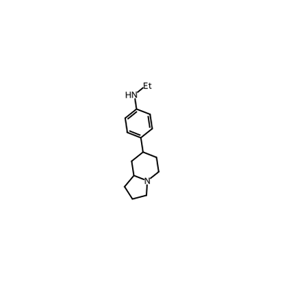 CCNc1ccc(C2CCN3CCCC3C2)cc1